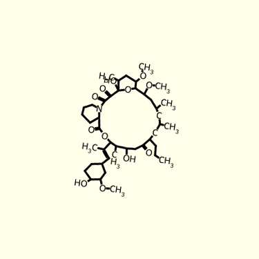 CCCC1CC(C)CC(C)CC(OC)C2OC(O)(C(=O)C(=O)N3CCCCC3C(=O)OC(C(C)=CC3CCC(O)C(OC)C3)C(C)C(O)CC1=O)C(C)CC2OC